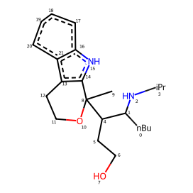 CCCCC(NC(C)C)C(CCO)C1(C)OCCc2c1[nH]c1ccccc21